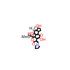 COCC1OC(=O)C(=CN2CCCC2)C2=C(O)C(=O)C3=C(C(O)CC4(C)C(O)CCC34)C21C